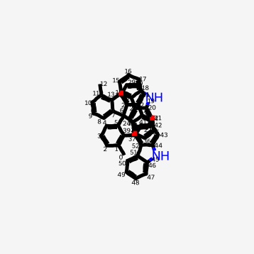 Cc1cccc(C2(c3cccc(C)c3-c3cccc4[nH]c5ccccc5c34)c3ccccc3-c3ccccc32)c1-c1cccc2[nH]c3ccccc3c12